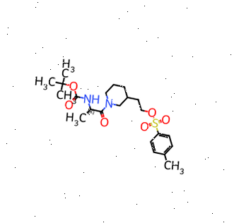 Cc1ccc(S(=O)(=O)OCCC2CCCN(C(=O)[C@@H](C)NC(=O)OC(C)(C)C)C2)cc1